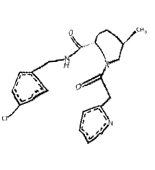 C[C@@H]1C[C@@H](C(=O)NCc2ccc(Cl)cc2)N(C(=O)Cc2ccccn2)C1